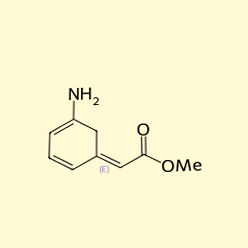 COC(=O)/C=C1/C=CC=C(N)C1